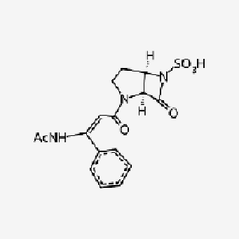 CC(=O)NC(=CC(=O)N1CC[C@@H]2[C@H]1C(=O)N2S(=O)(=O)O)c1ccccc1